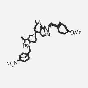 COc1ccc(Cn2ncc3c(N4CCc5c(c(C)nn5CC56CCC(N)(CC5)CC6)C4)cc(C)nc32)cc1